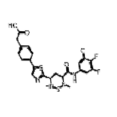 CN1SNC(c2ncc(-c3ccc(CC(=O)O)cc3)s2)CC1C(=O)Nc1cc(F)c(F)c(Cl)c1